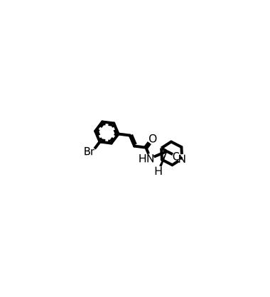 O=C(/C=C/c1cccc(Br)c1)N[C@H]1CN2CCC1CC2